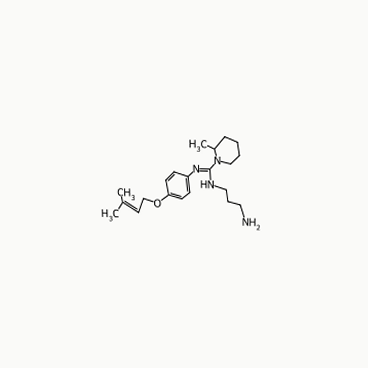 CC(C)=CCOc1ccc(/N=C(\NCCCN)N2CCCCC2C)cc1